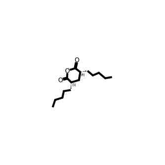 CCCCC[C@@H]1C[C@H](CCCCC)C(=O)OC1=O